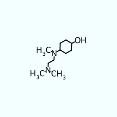 CN(C)CCN(C)C1CCC(O)CC1